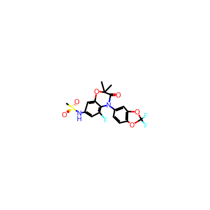 CC1(C)Oc2cc(NS(C)(=O)=O)cc(F)c2N(c2ccc3c(c2)OC(F)(F)O3)C1=O